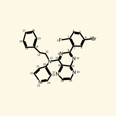 Fc1ccc(Br)cc1-c1nc(N(CCc2ccccc2)c2ccncc2)c2nccnc2n1